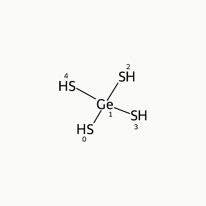 [SH][Ge]([SH])([SH])[SH]